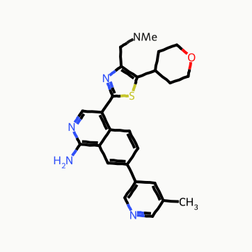 CNCc1nc(-c2cnc(N)c3cc(-c4cncc(C)c4)ccc23)sc1C1CCOCC1